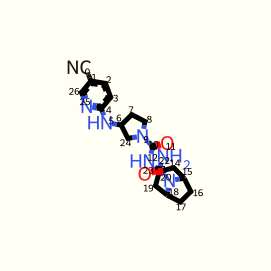 N#Cc1ccc(NC2CCN(C(=O)NC3CC4CCC(C3)N4C(N)=O)C2)nc1